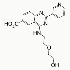 O=C(O)c1ccc2nc(-c3cccnc3)nc(NCCOCCO)c2c1